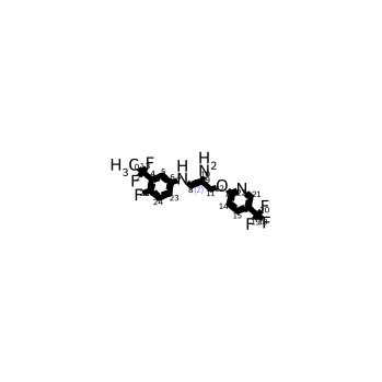 CC(F)(F)c1cc(N/C=C(\N)COc2ccc(C(F)(F)F)cn2)ccc1F